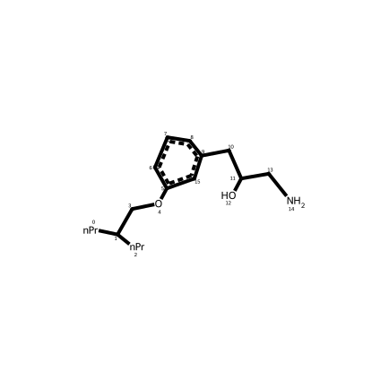 CCCC(CCC)COc1cccc(CC(O)CN)c1